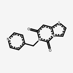 O=c1cc2sccn2c(=O)n1Cc1ccncc1